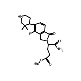 CC(C)(C)OC(=O)CCC(C(N)=O)N1Cc2c(ccc(C3CCNCC3(C)C)c2F)C1=O